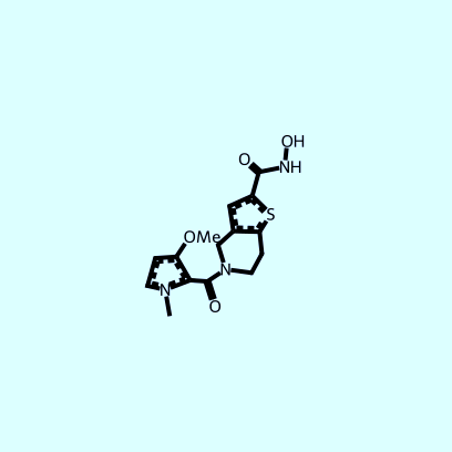 COc1ccn(C)c1C(=O)N1CCc2sc(C(=O)NO)cc2C1